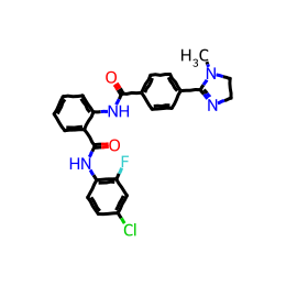 CN1CCN=C1c1ccc(C(=O)Nc2ccccc2C(=O)Nc2ccc(Cl)cc2F)cc1